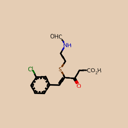 O=CNCCS/C(=C\c1cccc(Cl)c1)C(=O)CC(=O)O